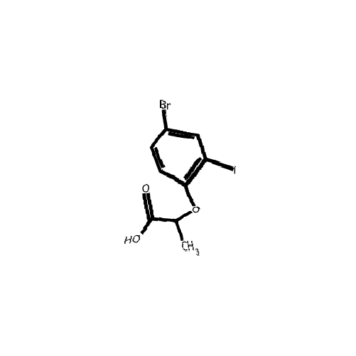 CC(Oc1ccc(Br)cc1I)C(=O)O